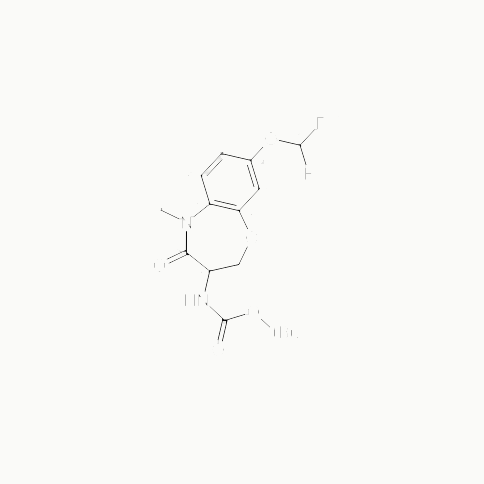 CN1C(=O)C(NC(=O)OC(C)(C)C)COc2cc(OC(F)F)ccc21